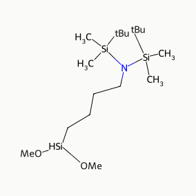 CO[SiH](CCCCN([Si](C)(C)C(C)(C)C)[Si](C)(C)C(C)(C)C)OC